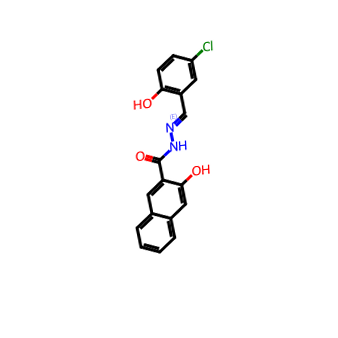 O=C(N/N=C/c1cc(Cl)ccc1O)c1cc2ccccc2cc1O